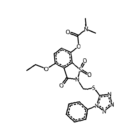 CCOc1ccc(OC(=O)N(C)C)c2c1C(=O)N(CSc1nnnn1-c1ccccc1)S2(=O)=O